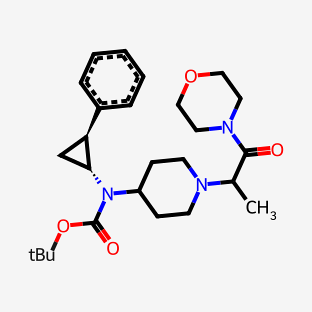 CC(C(=O)N1CCOCC1)N1CCC(N(C(=O)OC(C)(C)C)[C@@H]2C[C@H]2c2ccccc2)CC1